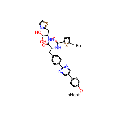 CCCCCCCOc1ccc(-c2cnc(-c3ccc(C[C@H](NC(=O)c4ccc(C(C)(C)C)s4)C(=O)NC(Cc4nccs4)C(O)O)cc3)nc2)cc1